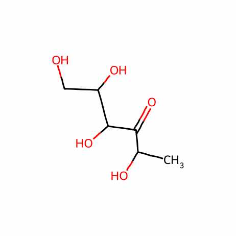 CC(O)C(=O)C(O)C(O)CO